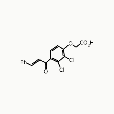 CCC=CC(=O)c1ccc(OCC(=O)O)c(Cl)c1Cl